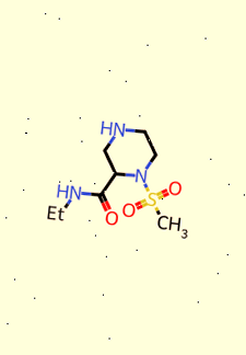 CCNC(=O)C1CNCCN1S(C)(=O)=O